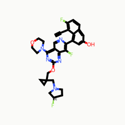 C#Cc1c(F)ccc2cc(O)cc(-c3ncc4c(N5CCOCC5)nc(OCC5(CN6CC[C@@H](F)C6)CC5)nc4c3F)c12